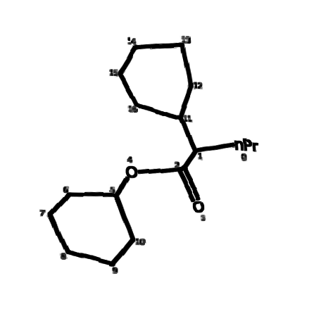 CCCC(C(=O)OC1CCCCC1)C1CCCCC1